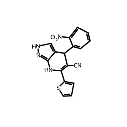 N#CC1=C(c2cccs2)Nc2n[nH]cc2C1c1ccccc1[N+](=O)[O-]